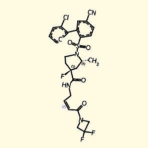 C[C@@H]1C[C@](F)(C(=O)NC/C=C\C(=O)N2CC(F)(F)C2)CCN1S(=O)(=O)c1ccc(C#N)cc1-c1ccccc1Cl